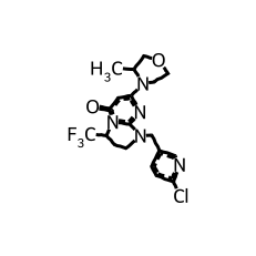 CC1COCCN1c1cc(=O)n2c(n1)N(Cc1ccc(Cl)nc1)CCC2C(F)(F)F